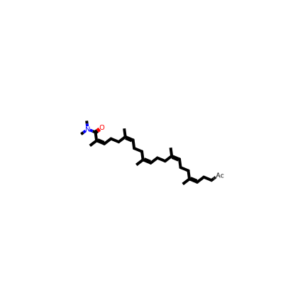 CC(=O)CCC=C(C)CCC=C(C)CCC=C(C)CCC=C(C)CCC=C(C)C(=O)N(C)C